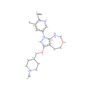 COc1ncc(-n2nc(OCC3CCN(C(C)C)CC3)c3c2NCOCC3)cc1C